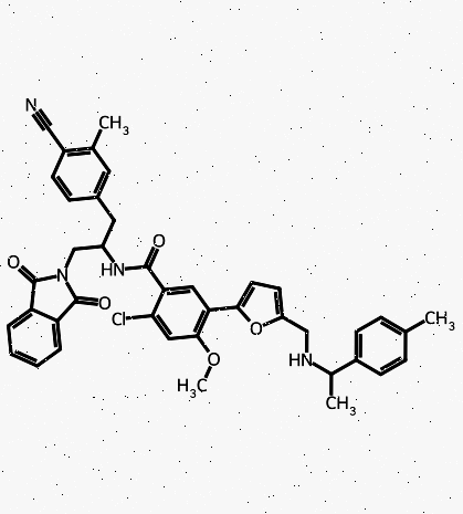 COc1cc(Cl)c(C(=O)NC(Cc2ccc(C#N)c(C)c2)CN2C(=O)c3ccccc3C2=O)cc1-c1ccc(CNC(C)c2ccc(C)cc2)o1